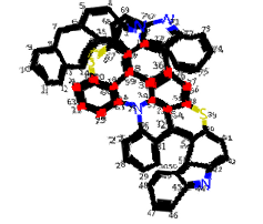 C1=C2N=c3ccc4cc5ccccc5cc4c3=C2C(c2ccccc2N(c2ccccc2-c2c3ccccc3sc3ccc4nc5ccccc5c4c23)c2ccccc2-c2c3ccccc3sc3ccc4nc5ccccc5c4c23)CC1